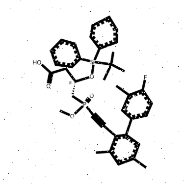 COP(=O)(C#Cc1c(C)cc(C)cc1-c1ccc(F)c(C)c1)C[C@H](CC(=O)O)O[Si](c1ccccc1)(c1ccccc1)C(C)(C)C